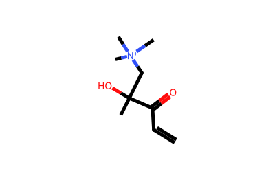 C=CC(=O)C(C)(O)C[N+](C)(C)C